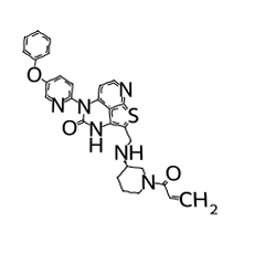 C=CC(=O)N1CCC[C@@H](NCc2sc3nccc4c3c2NC(=O)N4c2ccc(Oc3ccccc3)cn2)C1